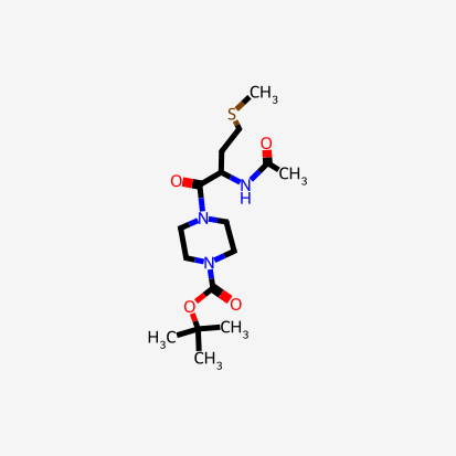 CSCCC(NC(C)=O)C(=O)N1CCN(C(=O)OC(C)(C)C)CC1